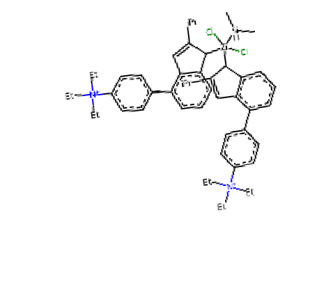 CC[N+](CC)(CC)c1ccc(-c2cccc3c2C=C(C(C)C)[CH]3[Zr]([Cl])([Cl])([CH]2C(C(C)C)=Cc3c(-c4ccc([N+](CC)(CC)CC)cc4)cccc32)[SiH](C)C)cc1